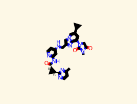 Cc1ccnc([C@H]2C[C@@H]2C(=O)Nc2cc(NCc3cn4cc(C5CC5)cc(N5CC(=O)N(C)C5=O)c4n3)ccn2)n1